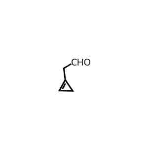 O=CCC1=CC1